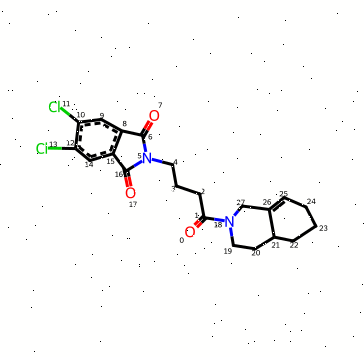 O=C(CCCN1C(=O)c2cc(Cl)c(Cl)cc2C1=O)N1CCC2CCCC=C2C1